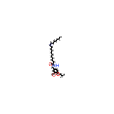 CCCCCC/C=C\CCCCCCCCCC(=O)NCc1ccc(OCCC)c(OC)c1